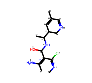 C/N=C(Cl)\C(=C(/C)N)C(O)NC(C)C1C=C(C)C=NC1